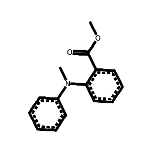 COC(=O)c1ccccc1N(C)c1ccccc1